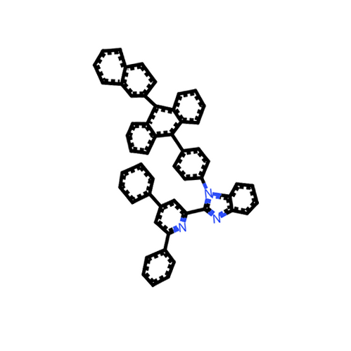 c1ccc(-c2cc(-c3ccccc3)nc(-c3nc4ccccc4n3-c3ccc(-c4c5ccccc5c(-c5ccc6ccccc6c5)c5ccccc45)cc3)c2)cc1